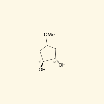 COC1C[C@H](O)[C@@H](O)C1